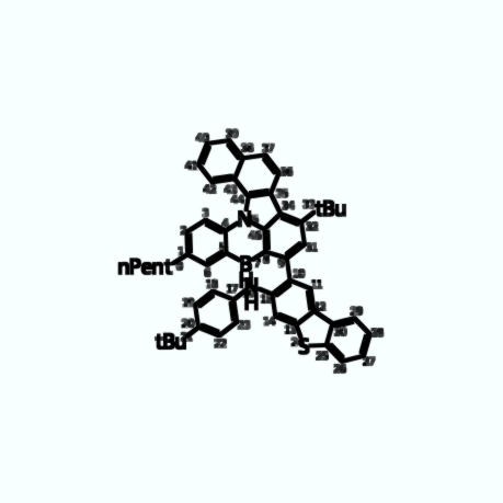 CCCCCc1ccc2c(c1)Bc1c(-c3cc4c(cc3Nc3ccc(C(C)(C)C)cc3)sc3ccccc34)cc(C(C)(C)C)c3c4ccc5ccccc5c4n-2c13